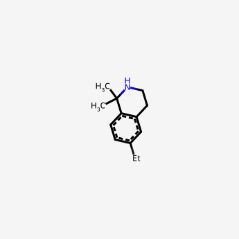 CCc1ccc2c(c1)CCNC2(C)C